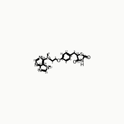 CN(CCOc1ccc(CC2SC(=O)NC2=O)cc1)c1ncnc2ncn(C)c12